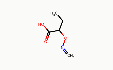 C=NOC(CC)C(=O)O